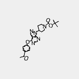 CC(=O)c1ccc(Oc2ncnc3c2cnn3C2CCN(C(=O)OC(C)(C)C)CC2)cc1